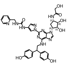 O=C(CO)N[C@H]1C[C@@H](n2cnc3c(NCC(c4ccc(O)cc4)c4ccc(O)cc4)nc(-n4cc(NC(=O)NCc5ccccn5)cn4)nc32)[C@H](O)[C@@H]1O